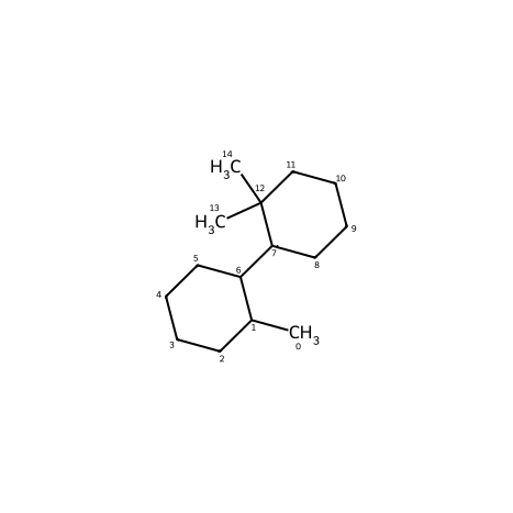 CC1CCCCC1[C]1CCCCC1(C)C